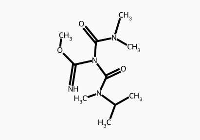 COC(=N)N(C(=O)N(C)C)C(=O)N(C)C(C)C